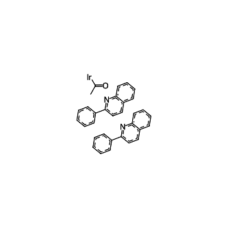 C[C](=O)[Ir].c1ccc(-c2ccc3ccccc3n2)cc1.c1ccc(-c2ccc3ccccc3n2)cc1